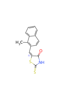 Cc1c(/C=C2/SC(=S)NC2=O)ccc2ccccc12